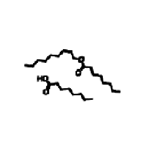 CCCCCC/C=C\COC(=O)CCCCCCC.CCCCCCCC(=O)O